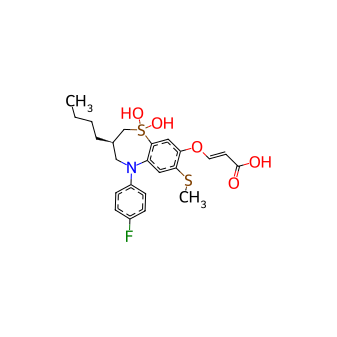 CCCC[C@@H]1CN(c2ccc(F)cc2)c2cc(SC)c(O/C=C/C(=O)O)cc2S(O)(O)C1